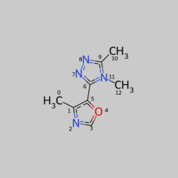 Cc1ncoc1-c1nnc(C)n1C